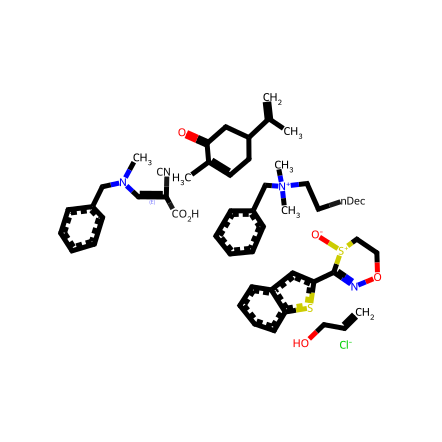 C=C(C)C1CC=C(C)C(=O)C1.C=CCO.CCCCCCCCCCCC[N+](C)(C)Cc1ccccc1.CN(/C=C(\C#N)C(=O)O)Cc1ccccc1.[Cl-].[O-][S+]1CCON=C1c1cc2ccccc2s1